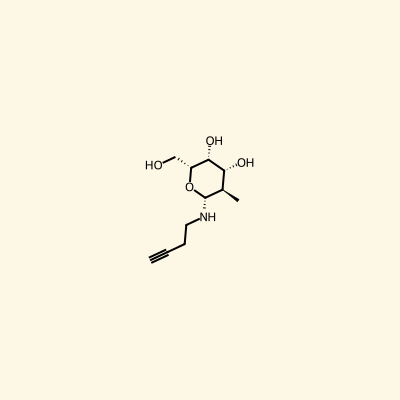 C#CCCN[C@@H]1O[C@H](CO)[C@H](O)[C@H](O)[C@H]1C